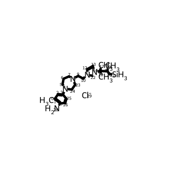 Cc1cc(N2CCCN(CCn3cc[n+](C(C)(C)C(C)C[SiH3])c3)CC2)ccc1N.[Cl-]